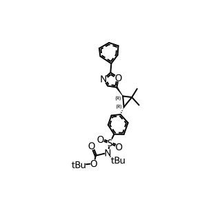 CC(C)(C)OC(=O)N(C(C)(C)C)S(=O)(=O)c1ccc([C@@H]2[C@@H](c3cnc(-c4ccccc4)o3)C2(C)C)cc1